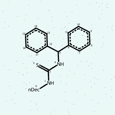 CCCCCCCCCCNC(=S)NC(c1ccccc1)c1ccccc1